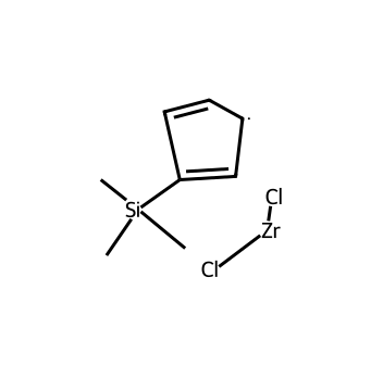 C[Si](C)(C)C1=C[CH]C=C1.[Cl][Zr][Cl]